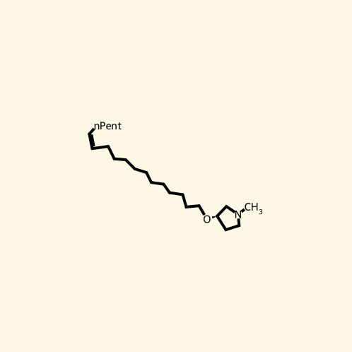 CCCCC/C=C\CCCCCCCCCCCO[C@H]1CCN(C)C1